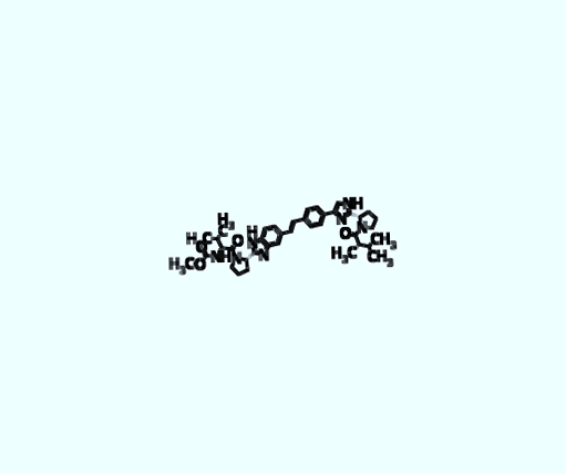 COC(=O)N[C@H](C(=O)N1CCC[C@H]1c1nc2cc(/C=C/c3ccc(-c4c[nH]c([C@@H]5CCCN5C(=O)[C@@H](C)C(C)C)n4)cc3)ccc2[nH]1)C(C)C